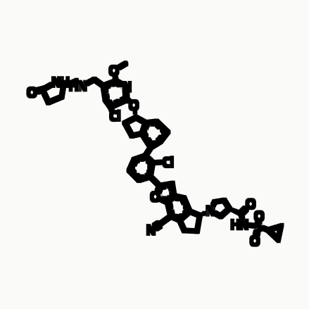 COc1nc(O[C@H]2CCc3c(-c4cccc(-c5cc6cc7c(c(C#N)c6o5)CC[C@H]7N5CC[C@@H](C(=O)NS(=O)(=O)C6CC6)C5)c4Cl)cccc32)c(Cl)cc1CNC[C@H]1CCC(=O)N1